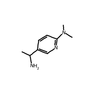 CC(N)c1ccc(N(C)C)nc1